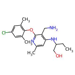 CCC(CO)Nc1cc(C)nc(Oc2c(C)cc(Cl)cc2C)c1CN